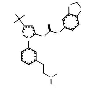 CN(C)CCc1cccc(-n2nc(C(C)(C)C)cc2NC(=O)Nc2ccc3c(c2)OCO3)c1